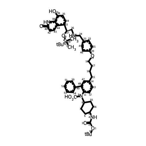 CC(C)(C)OC(=O)NC1CCC(N(C(=O)O)c2ccc(CCCCOc3ccc(CNC[C@@H](O[Si](C)(C)C(C)(C)C)c4ccc(O)c5[nH]c(=O)ccc45)cc3)cc2-c2ccccc2)CC1